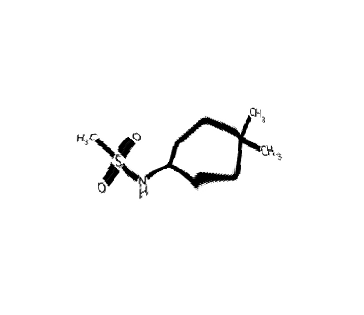 CC1(C)CCC(NS(C)(=O)=O)CC1